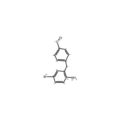 CCOc1ccc(Cc2cc(Br)ccc2N)cc1